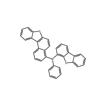 c1ccc(N(c2cccc3c2ccc2sc4ccccc4c23)c2cccc3c2oc2ccccc23)cc1